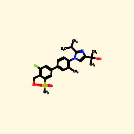 Cc1cc(-c2cc(F)c(CO)c(S(C)(=O)=O)c2)ccc1-n1cc(C(C)(C)O)nc1C(C)C